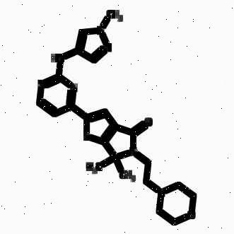 Cn1cc(Nc2nccc(-c3cc4c(s3)C(C)(C)N(CCN3CCOCC3)C4=O)n2)cn1